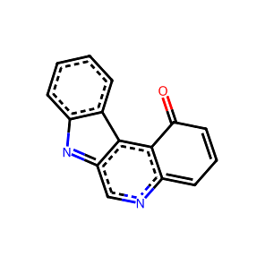 O=C1C=CC=c2ncc3c(c21)-c1ccccc1N=3